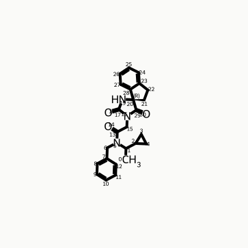 CC(C1CC1)N(Cc1ccccc1)C(=O)CN1C(=O)N[C@@]2(CCc3ccccc32)C1=O